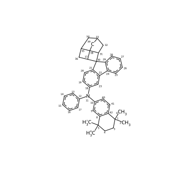 CC1(C)CCC(C)(C)c2cc(N(c3ccccc3)c3ccc4c(c3)-c3ccccc3C43C4CC5CC6CC3C64C5)ccc21